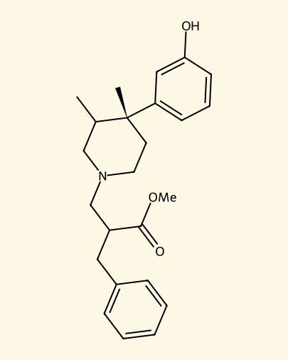 COC(=O)C(Cc1ccccc1)CN1CC[C@@](C)(c2cccc(O)c2)C(C)C1